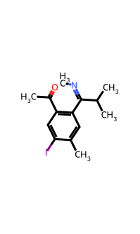 C/N=C(\c1cc(C)c(I)cc1C(C)=O)C(C)C